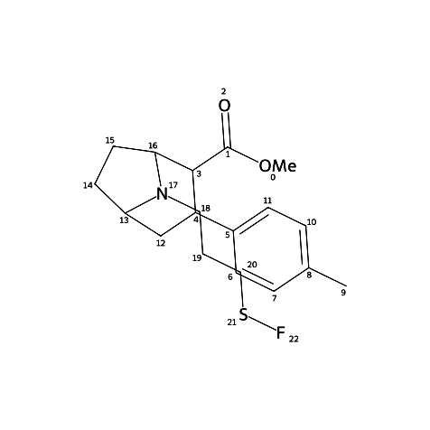 COC(=O)C1C(c2ccc(C)cc2)CC2CCC1N2CCCSF